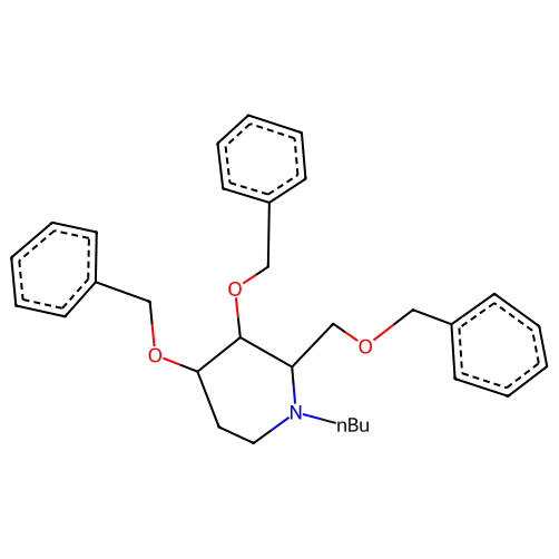 CCCCN1CCC(OCc2ccccc2)C(OCc2ccccc2)C1COCc1ccccc1